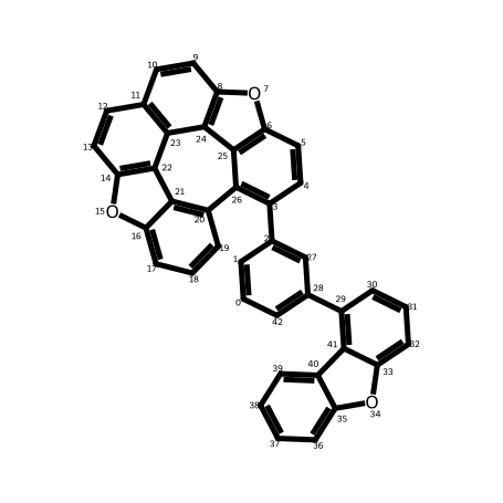 c1cc(-c2ccc3oc4ccc5ccc6oc7cccc8c7c6c5c4c3c2-8)cc(-c2cccc3oc4ccccc4c23)c1